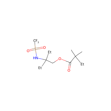 CCC(CC)(COC(=O)C(C)(C)CC)NS(=O)(=O)C(F)(F)F